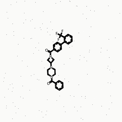 O=C(c1ccccc1)N1CCN(C2CN(C(=O)c3ccc(-c4ccccc4C(F)(F)F)cc3)C2)CC1